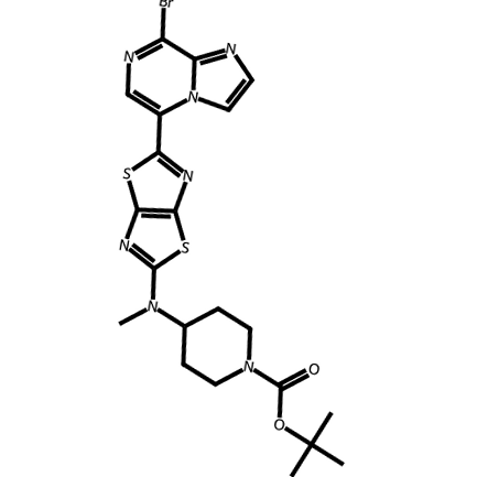 CN(c1nc2sc(-c3cnc(Br)c4nccn34)nc2s1)C1CCN(C(=O)OC(C)(C)C)CC1